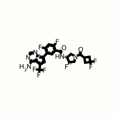 Nc1ncnn2c(-c3cc(C(=O)N[C@@H]4CN(C(=O)C5CC(F)(F)C5)C[C@@H]4F)c(F)cc3F)cc(C(F)(F)F)c12